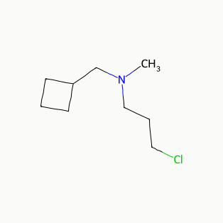 CN(CCCCl)CC1CCC1